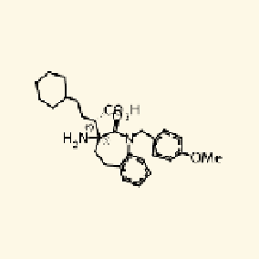 COc1ccc(CN2C(=O)[C@@](N)([C@H](CCC3CCCCC3)C(=O)O)CCc3ccccc32)cc1